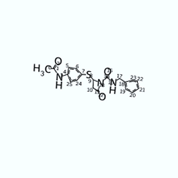 CC(=O)Nc1ccc(SC2CC(=O)N2C(=O)NCc2ccccc2)cc1